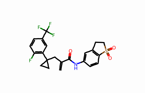 C=C(CC1(c2cc(C(F)(F)F)ccc2F)CC1)C(=O)Nc1ccc2c(c1)CCS2(=O)=O